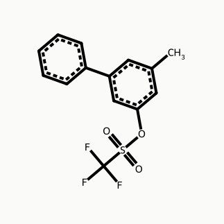 Cc1cc(OS(=O)(=O)C(F)(F)F)cc(-c2ccccc2)c1